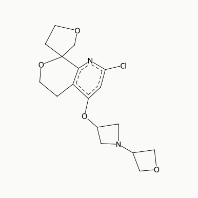 Clc1cc(OC2CN(C3COC3)C2)c2c(n1)C1(CCOC1)OCC2